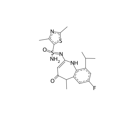 Cc1nc(C)c(S(N)(=O)=NC2=CC(=O)C(C)c3cc(F)cc(C(C)C)c3N2)s1